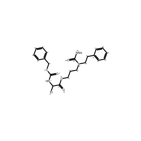 CCC(NC(=O)OCc1ccccc1)C(=O)OCCCN(CCc1ccccc1)C(=O)NC